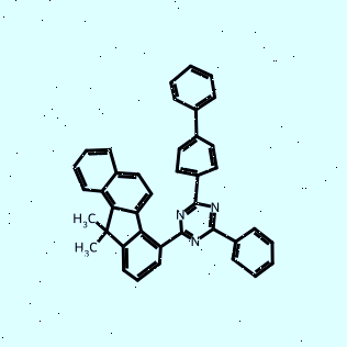 CC1(C)c2cccc(-c3nc(-c4ccccc4)nc(-c4ccc(-c5ccccc5)cc4)n3)c2-c2ccc3ccccc3c21